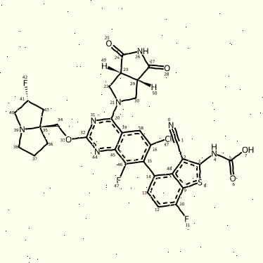 N#Cc1c(NC(=O)O)sc2c(F)ccc(-c3c(Cl)cc4c(N5C[C@@H]6C(=O)NC(=O)[C@@H]6C5)nc(OC[C@@]56CCCN5C[C@H](F)C6)nc4c3F)c12